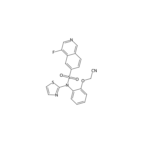 N#CCOc1ccccc1N(c1nccs1)S(=O)(=O)c1ccc2cncc(F)c2c1